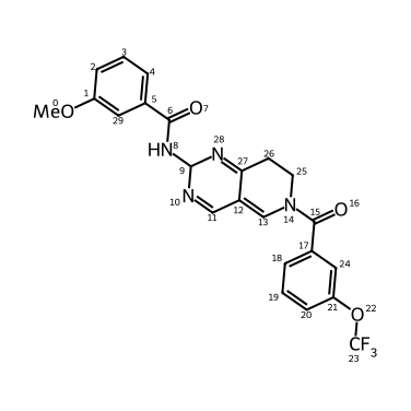 COc1cccc(C(=O)NC2N=CC3=CN(C(=O)c4cccc(OC(F)(F)F)c4)CCC3=N2)c1